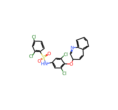 O=S(=O)(Nc1cc(Cl)c(OC2C=Cc3ccccc3N=C2)c(Cl)c1)c1ccc(Cl)cc1Cl